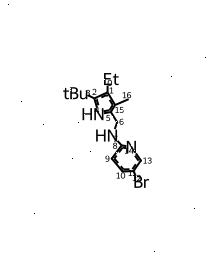 CCc1c(C(C)(C)C)[nH]c(CNc2ccc(Br)cn2)c1C